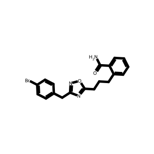 NC(=O)c1ccccc1CC[CH]c1nc(Cc2ccc(Br)cc2)no1